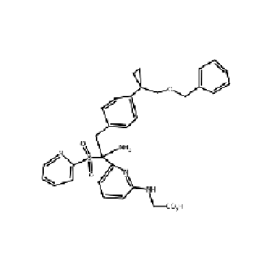 NC(Cc1ccc(C2(COCc3ccccc3)CC2)cc1)(c1cccc(NCC(=O)O)n1)S(=O)(=O)c1ccccn1